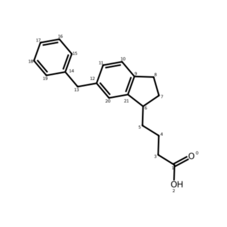 O=C(O)CCCC1CCc2ccc(Cc3ccccc3)cc21